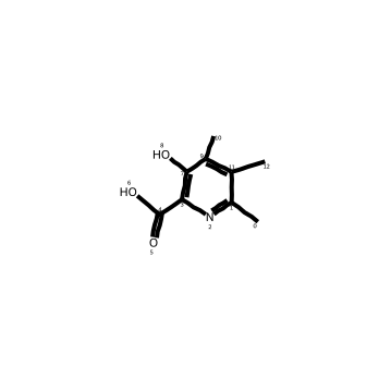 Cc1nc(C(=O)O)c(O)c(C)c1C